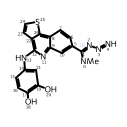 CN/C(=N\N=N)c1ccc2c(c1)nc(Nc1ccc(O)c(O)c1)c1ccsc12